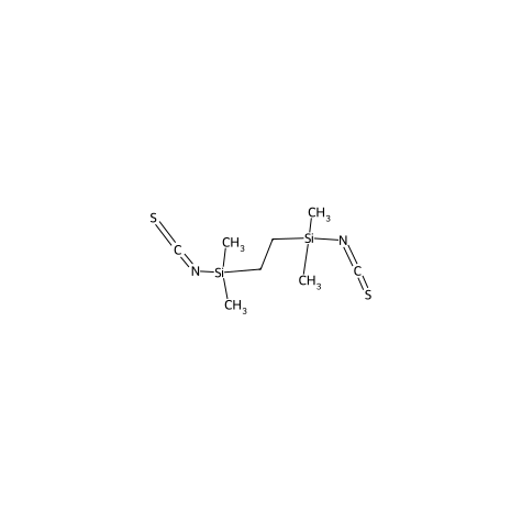 C[Si](C)(CC[Si](C)(C)N=C=S)N=C=S